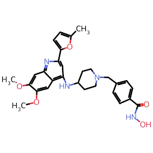 COc1cc2nc(-c3ccc(C)o3)cc(NC3CCN(Cc4ccc(C(=O)NO)cc4)CC3)c2cc1OC